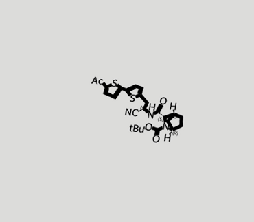 CC(=O)c1ccc(-c2ccc(C[C@@H](C#N)NC(=O)[C@@H]3[C@H]4CC[C@H](C4)N3C(=O)OC(C)(C)C)s2)s1